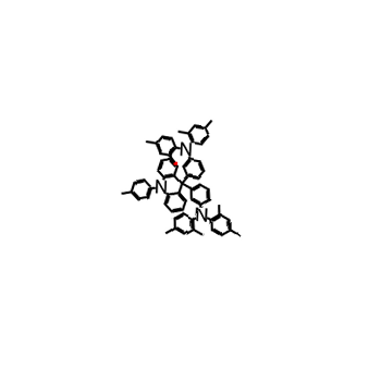 Cc1ccc(N2c3ccccc3C(c3cccc(N(c4ccc(C)cc4C)c4ccc(C)cc4C)c3)(c3cccc(N(c4ccc(C)cc4C)c4ccc(C)cc4C)c3)c3cc(C)ccc32)cc1